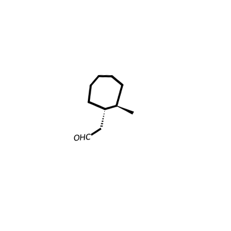 C[C@@H]1CCCCC[C@H]1CC=O